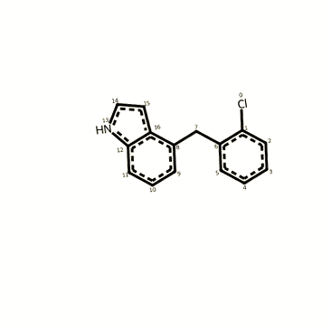 Clc1ccccc1Cc1cccc2[nH]ccc12